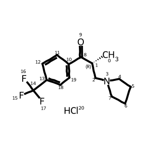 C[C@H](CN1CCCC1)C(=O)c1ccc(C(F)(F)F)cc1.Cl